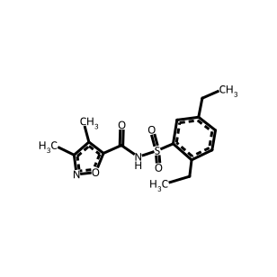 CCc1ccc(CC)c(S(=O)(=O)NC(=O)c2onc(C)c2C)c1